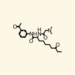 CCC(=O)CCCCCC(NC(=O)CN(C)C)C(=O)Nc1cccc(C(C)=O)c1